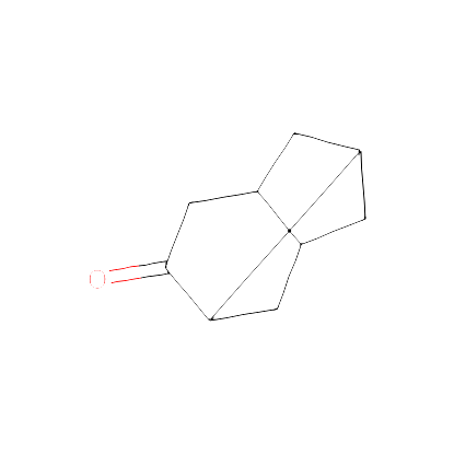 O=C1CC2CC3CC2CC13